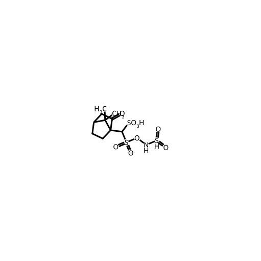 CC1(C)C2CCC1(C(S(=O)(=O)O)S(=O)(=O)ON[SH](=O)=O)C(=O)C2